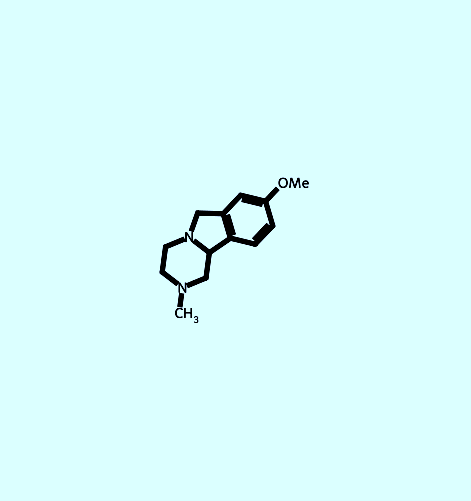 COc1ccc2c(c1)CN1CCN(C)CC21